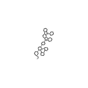 CSc1cccc(-c2ccc(-c3ccc(-n4c5ccccc5c5c4ccc4c6ccccc6n(-c6ccccc6)c45)cc3)c3c4ccccc4c4ccccc4c23)c1